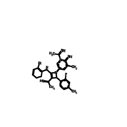 CCC1=C(NC2=C(C(C)=N)C(c3ccc(C)cc3F)N2c2cc(C)c(=N)n(C(C)=N)c2)CCC=C1